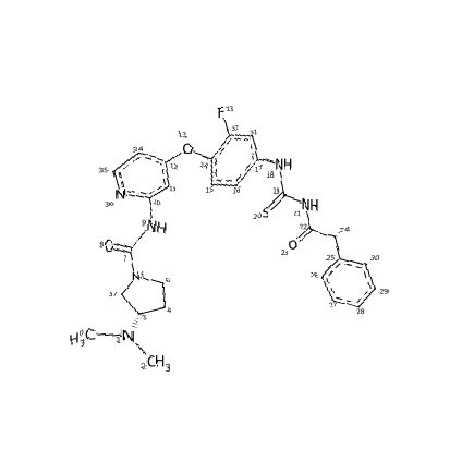 CN(C)[C@H]1CCN(C(=O)Nc2cc(Oc3ccc(NC(=S)NC(=O)Cc4ccccc4)cc3F)ccn2)C1